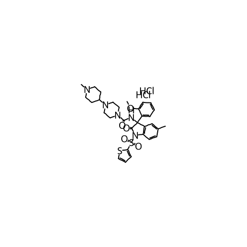 COc1ccccc1C1(NC(=O)N2CCN(C3CCN(C)CC3)CC2)C(=O)N(S(=O)(=O)c2cccs2)c2ccc(C)cc21.Cl.Cl